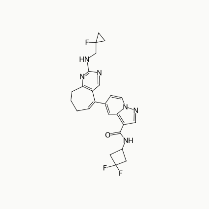 O=C(NC1CC(F)(F)C1)c1cnn2ccc(C3=CCCCc4nc(NCC5(F)CC5)ncc43)cc12